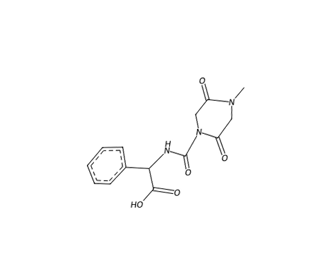 CN1CC(=O)N(C(=O)NC(C(=O)O)c2ccccc2)CC1=O